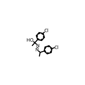 CC(N=NC(C)(O)c1ccc(Cl)cc1)c1ccc(Cl)cc1